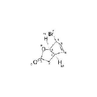 O=C1C[C@@H]2C=CC(Br)[C@@H]2O1